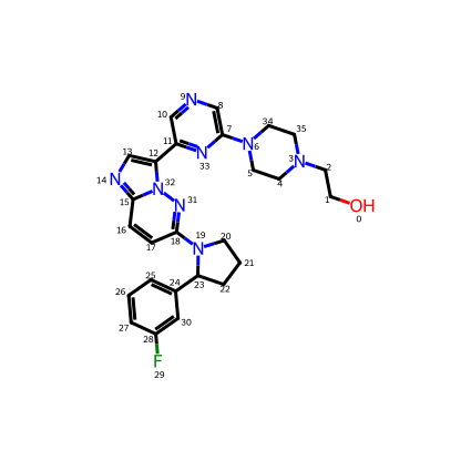 OCCN1CCN(c2cncc(-c3cnc4ccc(N5CCCC5c5cccc(F)c5)nn34)n2)CC1